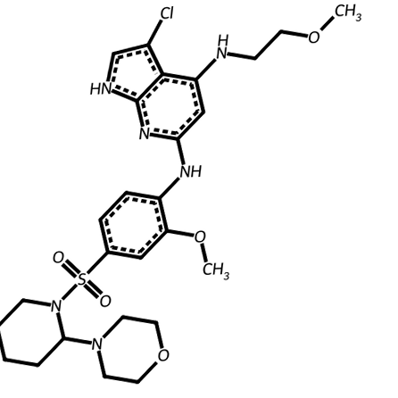 COCCNc1cc(Nc2ccc(S(=O)(=O)N3CCCCC3N3CCOCC3)cc2OC)nc2[nH]cc(Cl)c12